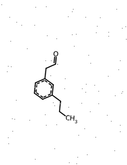 CCCc1cccc(C[C]=O)c1